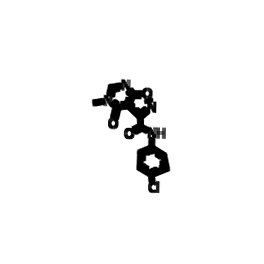 Cn1cnc2onc(C(=O)Nc3ccc(Cl)cc3)c2c1=O